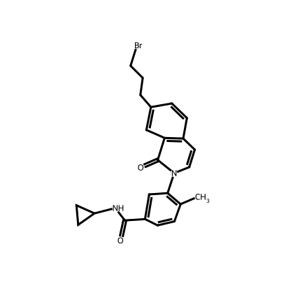 Cc1ccc(C(=O)NC2CC2)cc1-n1ccc2ccc(CCCBr)cc2c1=O